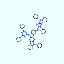 c1ccc(-c2nc(-c3ccccc3)nc(-n3c4ccc(-n5c6ccccc6n6c7c8ccccc8n(-c8ccccc8)c7nc56)cc4c4cc5c(cc43)c3ccccc3n5-c3ccccc3)n2)cc1